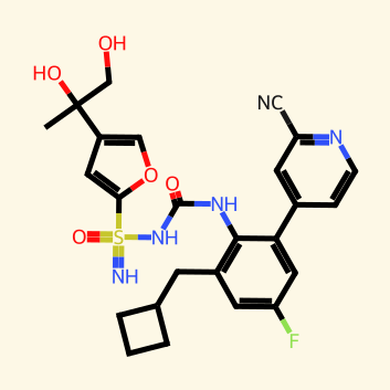 CC(O)(CO)c1coc(S(=N)(=O)NC(=O)Nc2c(CC3CCC3)cc(F)cc2-c2ccnc(C#N)c2)c1